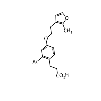 CC(=O)c1cc(OCCc2ccoc2C)ccc1CCC(=O)O